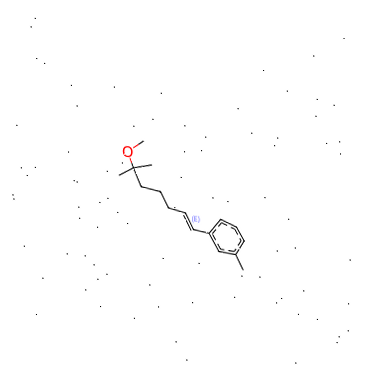 COC(C)(C)CCC/C=C/c1cccc(C)c1